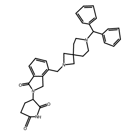 O=C1CCC(N2Cc3c(CN4CC5(CCN(C(c6ccccc6)c6ccccc6)CC5)C4)cccc3C2=O)C(=O)N1